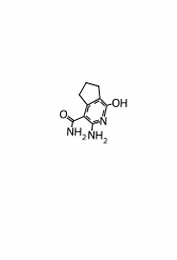 NC(=O)c1c(N)nc(O)c2c1CCC2